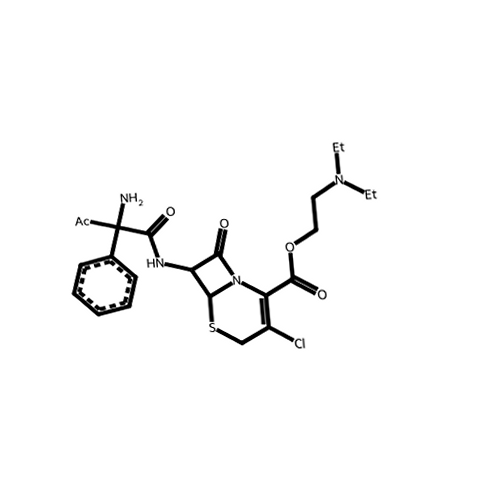 CCN(CC)CCOC(=O)C1=C(Cl)CSC2C(NC(=O)C(N)(C(C)=O)c3ccccc3)C(=O)N12